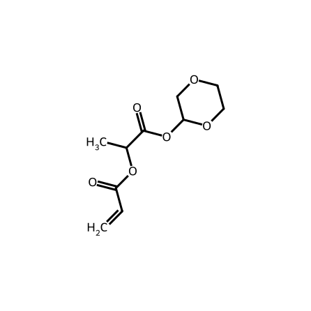 C=CC(=O)OC(C)C(=O)OC1COCCO1